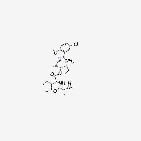 C=C(/C=C(\N)c1cc(Cl)ccc1OC)C1CCCN1C(=O)C(NC(=O)C(C)NC)C1CCCCC1